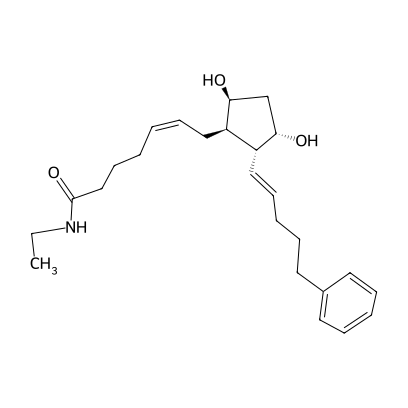 CCNC(=O)CCC/C=C\C[C@@H]1[C@@H](/C=C/CCCc2ccccc2)[C@@H](O)C[C@@H]1O